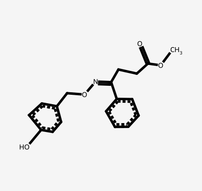 COC(=O)CCC(=NOCc1ccc(O)cc1)c1ccccc1